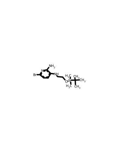 CC(C)(C)[Si](C)(C)OCCNc1ccc(Br)nc1N